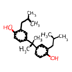 CC(C)Cc1cc(C(C)(C)c2ccc(O)c(CC(C)C)c2)ccc1O